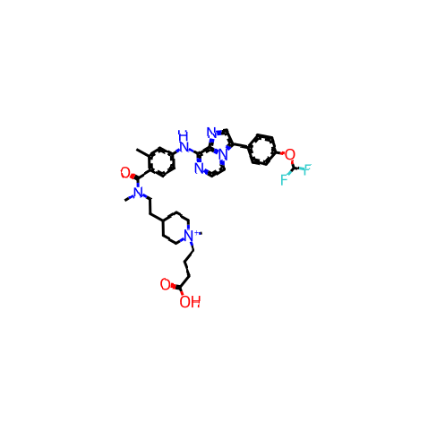 Cc1cc(Nc2nccn3c(-c4ccc(OC(F)F)cc4)cnc23)ccc1C(=O)N(C)CCC1CC[N+](C)(CCCC(=O)O)CC1